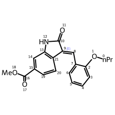 CCCOc1ccccc1/C=C1/C(=O)Nc2cc(C(=O)OC)ccc21